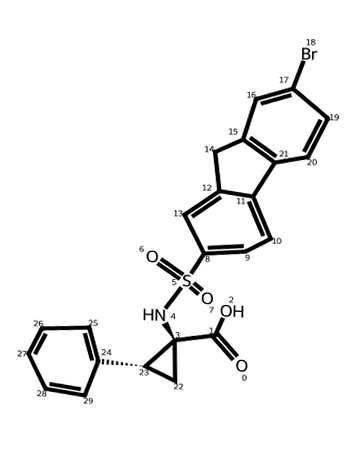 O=C(O)[C@]1(NS(=O)(=O)c2ccc3c(c2)Cc2cc(Br)ccc2-3)C[C@@H]1c1ccccc1